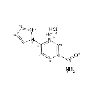 Cl.Cl.NC(=O)c1ccc(-n2cccn2)nc1